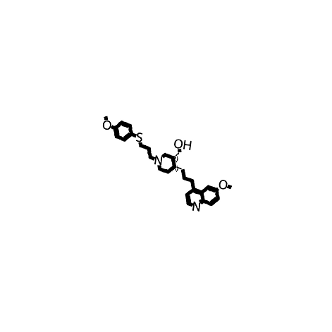 COc1ccc(SCCCN2CC[C@@H](CCCc3ccnc4ccc(OC)cc34)[C@@H](CO)C2)cc1